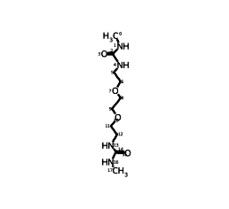 CNC(=O)NCCOCCOCCNC(=O)NC